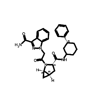 NC(=O)c1nn(CC(=O)N2[C@@H]3C[C@@H]3C[C@H]2C(=O)NC2CCC[C@@H](c3ccccc3)C2)c2ccccc12